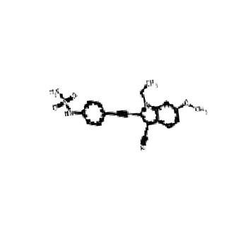 CCn1c(C#Cc2ccc(NS(C)(=O)=O)cc2)c(C#N)c2ccc(OC)cc21